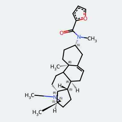 C[C@H]1[C@H]2CC[C@H]3[C@@H]4CC=C5C[C@@H](N(C)C(=O)c6ccco6)CC[C@]5(C)C4CC[C@]23CN1C